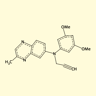 C#CCN(c1cc(OC)cc(OC)c1)c1ccc2ncc(C)nc2c1